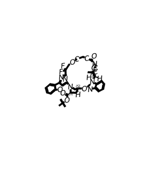 C[C@H]1CN2CC[C@@H]1n1c(nc3ccccc31)O[C@H]1C[C@@H](C(=O)OC(C)(C)C)N(C1)c1nc(nc3c1oc1ccccc13)C(F)(F)COCCCC2=O